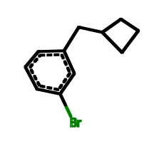 Brc1cccc(CC2CCC2)c1